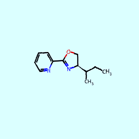 CCC(C)[C@@H]1COC(c2ccccn2)=N1